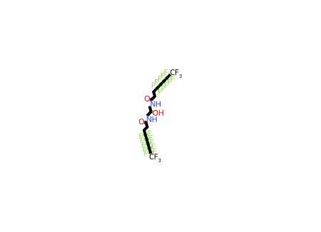 O=C(CCC(F)(F)C(F)(F)C(F)(F)C(F)(F)C(F)(F)C(F)(F)F)NCC(O)CNC(=O)CCC(F)(F)C(F)(F)C(F)(F)C(F)(F)C(F)(F)C(F)(F)F